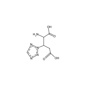 NC(C(=O)O)C(CC(=O)O)n1ncnn1